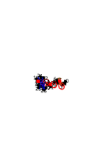 CCC(=O)SC(C)(C)COC(C)(C)COP(N(C(C)C)C(C)C)N(C(C)C)C(C)C